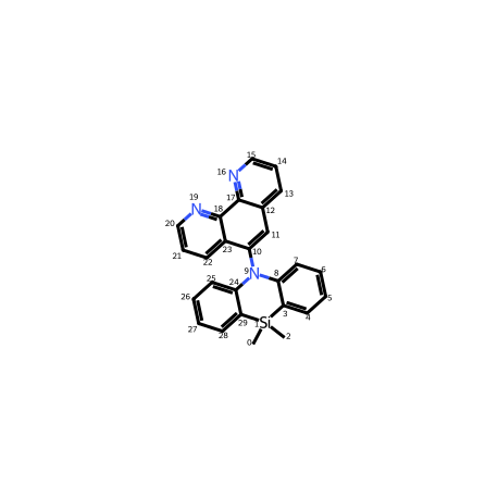 C[Si]1(C)c2ccccc2N(c2cc3cccnc3c3ncccc23)c2ccccc21